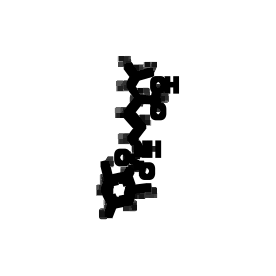 Cc1cc(C)c(S(=O)(=O)NCC=C[C@@H](CC(C)C)C(=O)O)c(C)c1